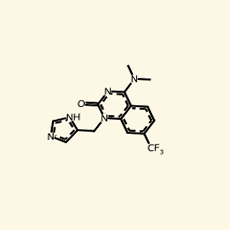 CN(C)c1nc(=O)n(Cc2cnc[nH]2)c2cc(C(F)(F)F)ccc12